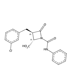 O=C(O)[C@@H]1[C@@H](Cc2cccc(Cl)c2)C(=O)N1C(=O)Nc1ccccc1